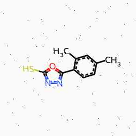 Cc1ccc(-c2nnc(S)o2)c(C)c1